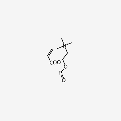 C=CC(=O)[O-].C[N+](C)(C)CCOP=O